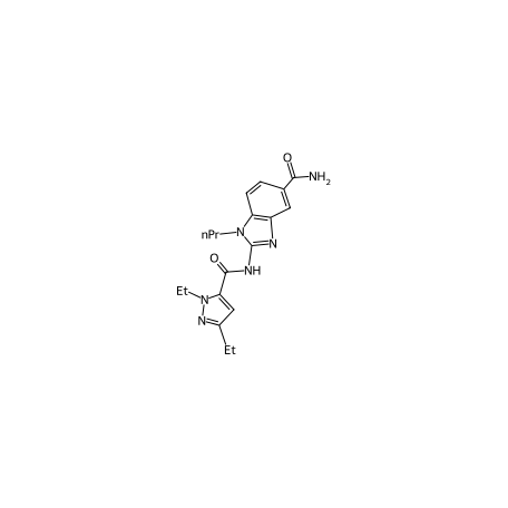 CCCn1c(NC(=O)c2cc(CC)nn2CC)nc2cc(C(N)=O)ccc21